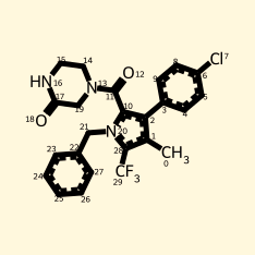 Cc1c(-c2ccc(Cl)cc2)c(C(=O)N2CCNC(=O)C2)n(Cc2ccccc2)c1C(F)(F)F